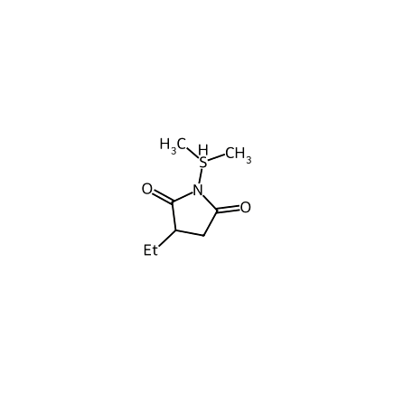 CCC1CC(=O)N([SH](C)C)C1=O